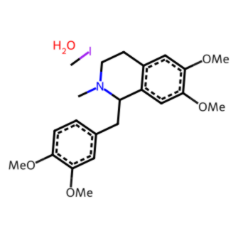 CI.COc1ccc(CC2c3cc(OC)c(OC)cc3CCN2C)cc1OC.O